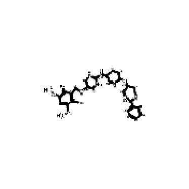 COc1cc(OC)c(F)c(COc2cnc(NC3C=NC(OC4COC(c5ccccc5)OC4)=CC3)nc2)c1F